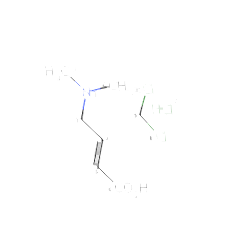 CN(C)C/C=C/C(=O)O.Cl.ClCCl